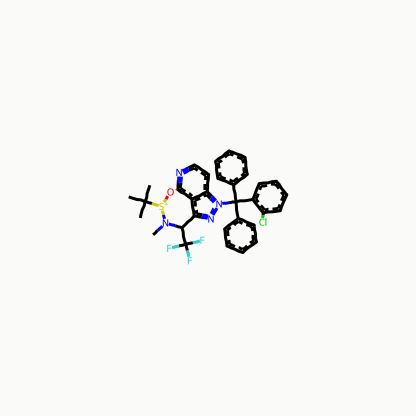 CN(C(c1nn(C(c2ccccc2)(c2ccccc2)c2ccccc2Cl)c2ccncc12)C(F)(F)F)[S+]([O-])C(C)(C)C